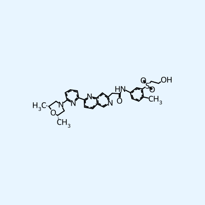 Cc1ccc(NC(=O)Cc2cc3nc(-c4cccc(N5C[C@@H](C)O[C@@H](C)C5)n4)ccc3cn2)cc1S(=O)(=O)CCO